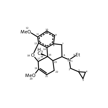 CCN(CC1CC1)C1Cc2ccc(OC)c3c2[C@@]2(C)C(O3)C(OC)=CCC12